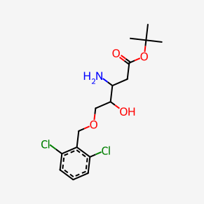 CC(C)(C)OC(=O)CC(N)C(O)COCc1c(Cl)cccc1Cl